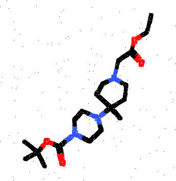 CCOC(=O)CN1CCC(C)(N2CCN(C(=O)OC(C)(C)C)CC2)CC1